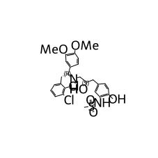 COc1ccc([C@@H](Cc2cccc(Cl)c2Cl)NC[C@@H](O)Cc2ccc(O)c(NS(C)(=O)=O)c2)cc1OC